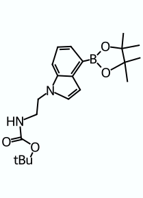 CC(C)(C)OC(=O)NCCn1ccc2c(B3OC(C)(C)C(C)(C)O3)cccc21